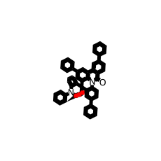 O=c1c2ccc(-c3ccccc3)cc2c2cc(-c3ccccc3)cc3c2n1-c1ccc(-c2ccccc2)cc1C31c2ccccc2N(c2ccccc2)c2ccccc21